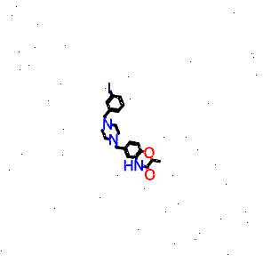 CC1Oc2ccc(CN3CCN(Cc4cccc(I)c4)CC3)cc2NC1=O